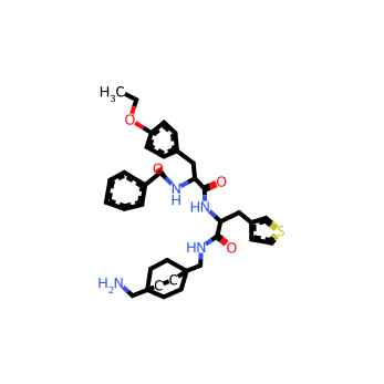 CCOc1ccc(CC(NC(=O)c2ccccc2)C(=O)NC(Cc2ccsc2)C(=O)NCC23CCC(CN)(CC2)CC3)cc1